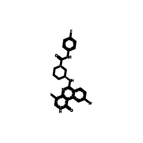 O=C(Nc1ccc(F)cc1)N1CCC[C@H](Nc2nc3c(I)c[nH]c(=O)c3c3cc(Br)ccc23)C1